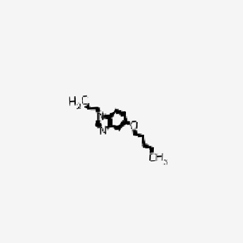 C=CCn1cnc2cc(OCCCCC)ccc21